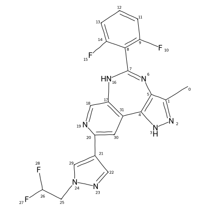 Cc1n[nH]c2c1N=C(c1c(F)cccc1F)Nc1cnc(-c3cnn(CC(F)F)c3)cc1-2